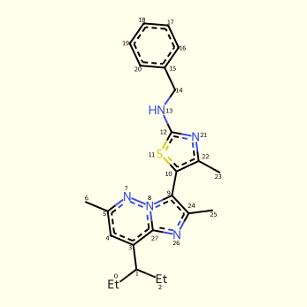 CCC(CC)c1cc(C)nn2c(-c3sc(NCc4ccccc4)nc3C)c(C)nc12